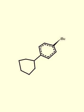 CC[C@H](C)c1ccc(C2CCCCC2)cc1